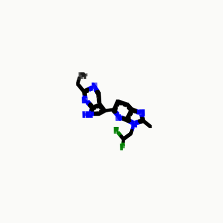 Cc1nc2ccc(-c3c[nH]c4nc(CC(C)C)ncc34)nc2n1CC(F)F